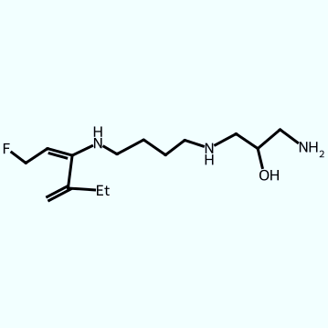 C=C(CC)/C(=C\CF)NCCCCNCC(O)CN